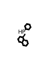 c1ccc(PCc2cccc3ccccc23)cc1